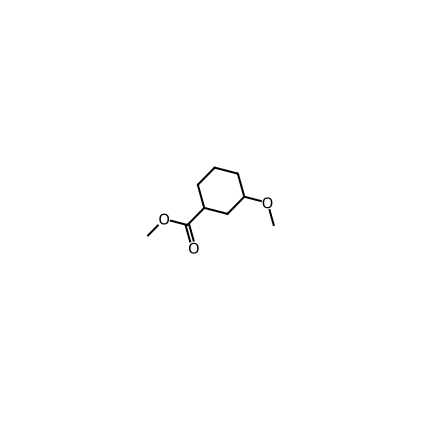 COC(=O)C1CCCC(OC)C1